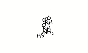 Cc1cccc(C(=O)Nc2cccc(NC[C@@H](N)CS)c2)c1C